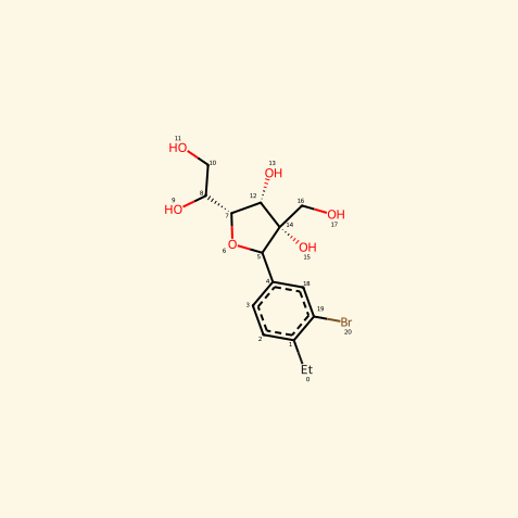 CCc1ccc(C2O[C@H](C(O)CO)[C@H](O)[C@@]2(O)CO)cc1Br